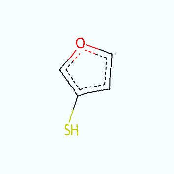 Sc1c[c]oc1